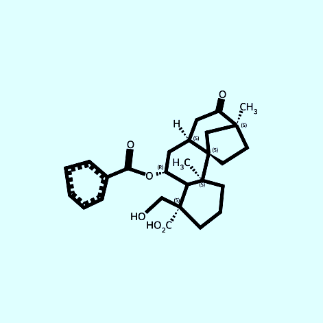 C[C@]12CC[C@]3(C1)[C@H](CC2=O)C[C@@H](OC(=O)c1ccccc1)C1[C@@](CO)(C(=O)O)CCC[C@@]13C